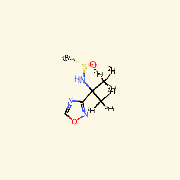 [2H]C([2H])([2H])C(N[S@@+]([O-])C(C)(C)C)(c1ncon1)C([2H])([2H])[2H]